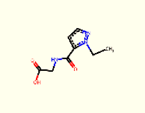 CCn1nccc1C(=O)NCC(=O)O